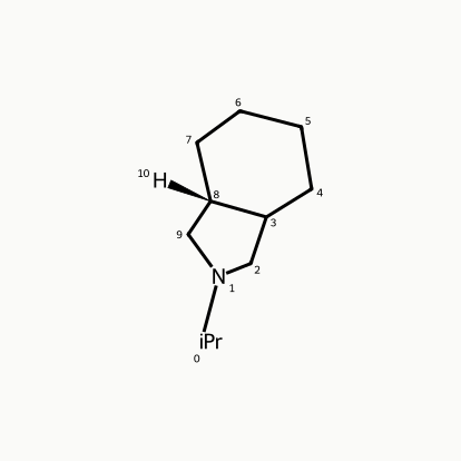 CC(C)N1CC2CCCC[C@H]2C1